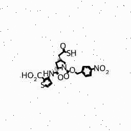 O=C(S)C[C@@H]1C[C@@H](C(=O)Nc2ccsc2C(=O)O)N(C(=O)OCc2ccc([N+](=O)[O-])cc2)C1